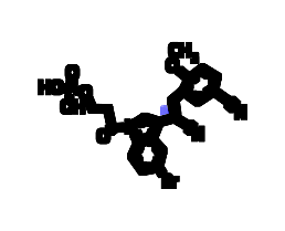 COc1ccc(C#N)cc1/C=C(\C#N)c1cn(C(=O)CCOP(=O)(O)O)c2ccc(Br)cc12